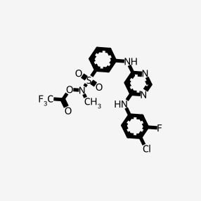 CN(OC(=O)C(F)(F)F)S(=O)(=O)c1cccc(Nc2cc(Nc3ccc(Cl)c(F)c3)ncn2)c1